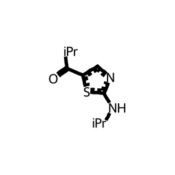 CC(C)Nc1ncc(C(=O)C(C)C)s1